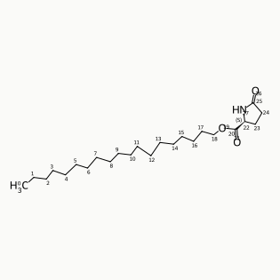 CCCCCCCCCCCCCCCCCCCOC(=O)[C@@H]1CCC(=O)N1